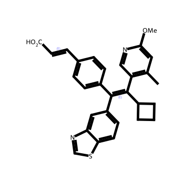 COc1cc(C)c(/C(=C(\c2ccc(/C=C/C(=O)O)cc2)c2ccc3scnc3c2)C2CCC2)cn1